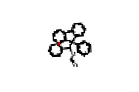 O=[C]OC(c1ccccc1)C1(c2ccccc2)c2ccccc2-c2ccccc21